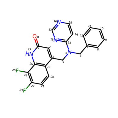 O=c1cc(CN(Cc2ccccc2)c2ccncn2)c2ccc(F)c(F)c2[nH]1